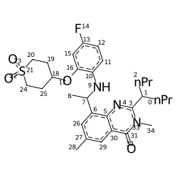 CCCC(CCC)c1nc2c(C(C)Nc3ccc(F)cc3OC3CCS(=O)(=O)CC3)cc(C)cc2c(=O)n1C